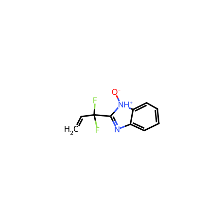 C=CC(F)(F)C1=Nc2ccccc2[NH+]1[O-]